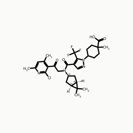 Cc1cc(C)c(C(=O)CN(C(=O)c2cnn(C3CCC(C)(C(=O)O)CC3)c2C(F)(F)F)[C@H]2C[C@@H]3[C@H](C2)C3(C)C)c(Cl)n1